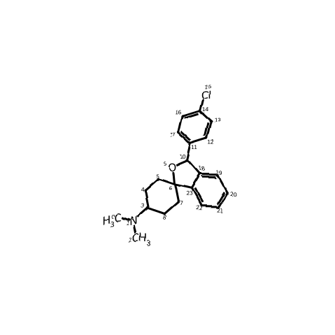 CN(C)C1CCC2(CC1)OC(c1ccc(Cl)cc1)c1ccccc12